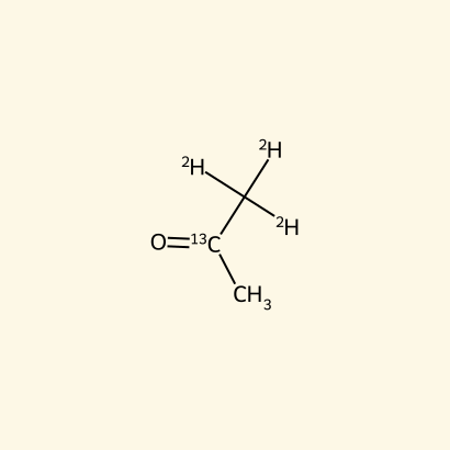 [2H]C([2H])([2H])[13C](C)=O